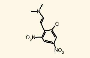 CN(C)C=Cc1c(Cl)cc([N+](=O)[O-])cc1[N+](=O)[O-]